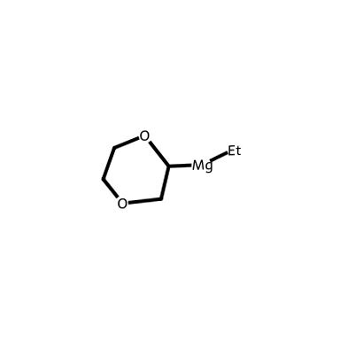 C[CH2][Mg][CH]1COCCO1